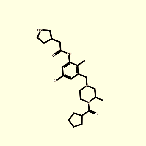 Cc1c(CN2CCN(C(=O)C3CCCC3)C(C)C2)cc(Cl)cc1NC(=O)CC1CCNC1